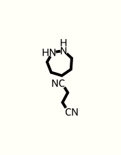 C1CCNNCC1.N#CCCC#N